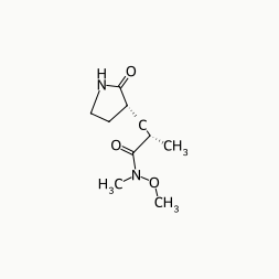 CON(C)C(=O)[C@@H](C)C[C@@H]1CCNC1=O